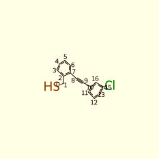 SCc1ccccc1C#Cc1cccc(Cl)c1